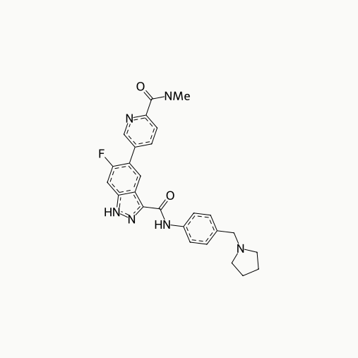 CNC(=O)c1ccc(-c2cc3c(C(=O)Nc4ccc(CN5CCCC5)cc4)n[nH]c3cc2F)cn1